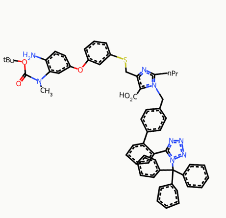 CCCc1nc(CSc2cccc(Oc3ccc(N)c(N(C)C(=O)OC(C)(C)C)c3)c2)c(C(=O)O)n1Cc1ccc(-c2ccccc2-c2nnnn2C(c2ccccc2)(c2ccccc2)c2ccccc2)cc1